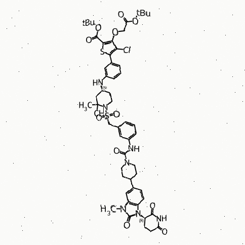 Cn1c(=O)n([C@@H]2CCC(=O)NC2=O)c2ccc(C3CCN(C(=O)Nc4cccc(CS(=O)(=O)N5CC[C@H](Nc6cccc(-c7sc(C(=O)OC(C)(C)C)c(OCC(=O)OC(C)(C)C)c7Cl)c6)CC5(C)C)c4)CC3)cc21